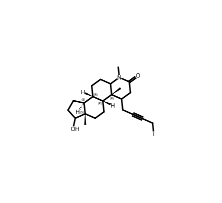 CN1C(=O)CC(CC#CCI)[C@@]2(C)C1CC[C@@H]1[C@H]2CC[C@]2(C)C(O)CC[C@@H]12